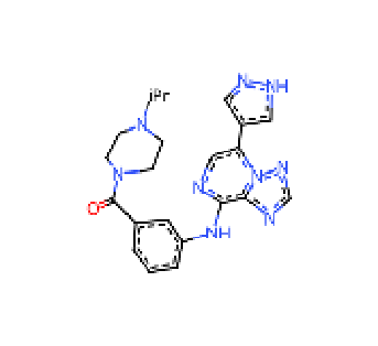 CC(C)N1CCN(C(=O)c2cccc(Nc3ncc(-c4cn[nH]c4)n4ncnc34)c2)CC1